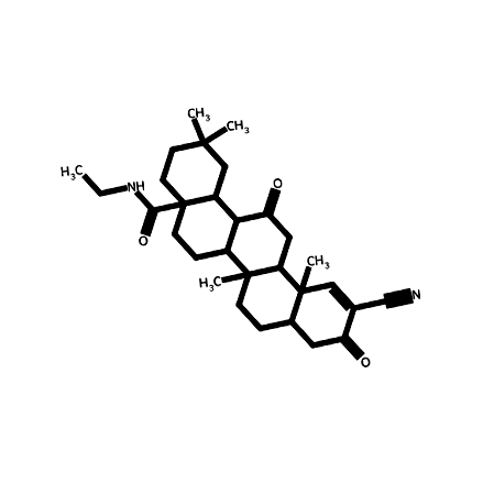 CCNC(=O)C12CCC3C(C(=O)CC4C5(C)C=C(C#N)C(=O)CC5CCC34C)C1CC(C)(C)CC2